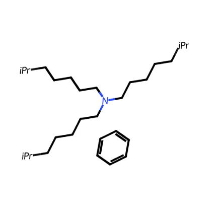 CC(C)CCCCCN(CCCCCC(C)C)CCCCCC(C)C.c1ccccc1